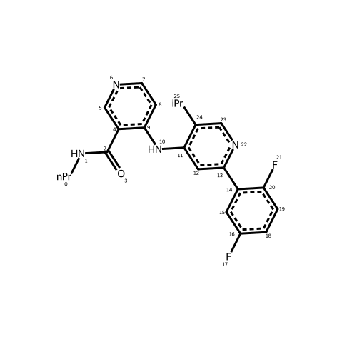 CCCNC(=O)c1cnccc1Nc1cc(-c2cc(F)ccc2F)ncc1C(C)C